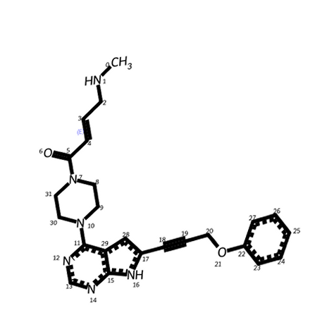 CNC/C=C/C(=O)N1CCN(c2ncnc3[nH]c(C#CCOc4ccccc4)cc23)CC1